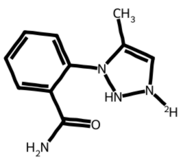 [2H]N1C=C(C)N(c2ccccc2C(N)=O)N1